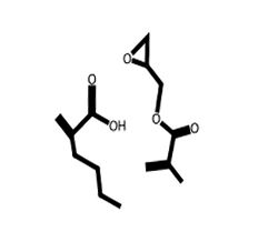 C=C(C)C(=O)OCC1CO1.C=C(CCCC)C(=O)O